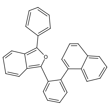 c1ccc(-c2oc(-c3ccccc3-c3cccc4ccccc34)c3ccccc23)cc1